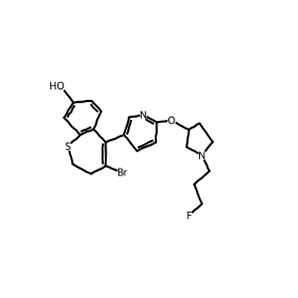 Oc1ccc2c(c1)SCCC(Br)=C2c1ccc(OC2CCN(CCCF)C2)nc1